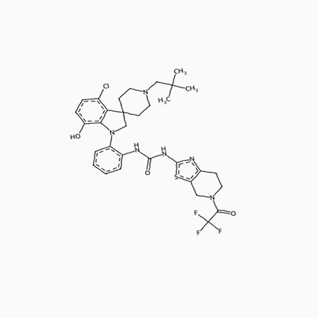 CC(C)(C)CN1CCC2(CC1)CN(c1ccccc1NC(=O)Nc1nc3c(s1)CN(C(=O)C(F)(F)F)CC3)c1c(O)ccc(Cl)c12